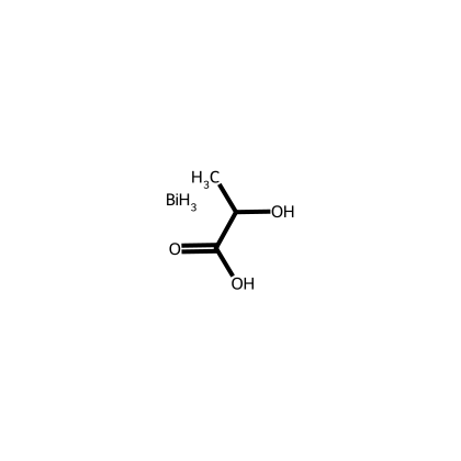 CC(O)C(=O)O.[BiH3]